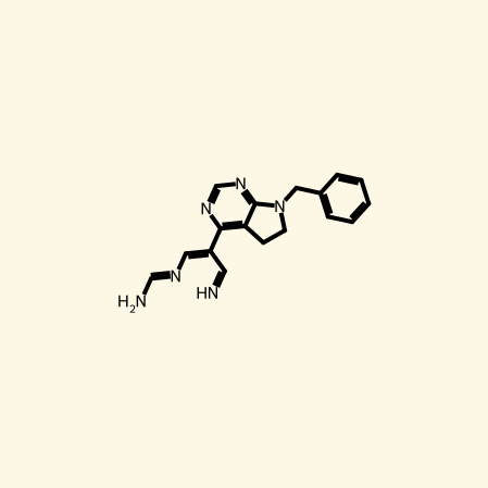 N=C/C(=C\N=C\N)c1ncnc2c1CCN2Cc1ccccc1